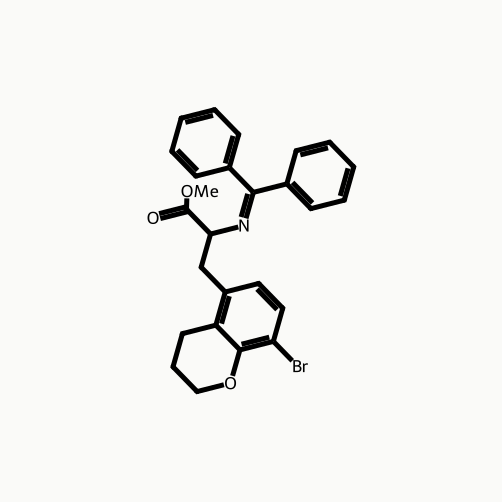 COC(=O)C(Cc1ccc(Br)c2c1CCCO2)N=C(c1ccccc1)c1ccccc1